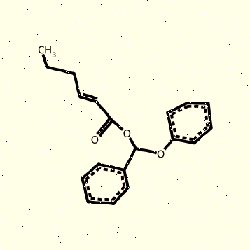 CCCC=CC(=O)OC(Oc1ccccc1)c1ccccc1